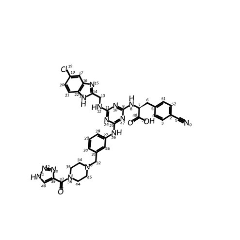 N#Cc1ccc(C[C@H](Nc2nc(NCc3nc4cc(Cl)ccc4[nH]3)nc(Nc3cccc(CN4CCN(C(=O)c5c[nH]nn5)CC4)c3)n2)C(=O)O)cc1